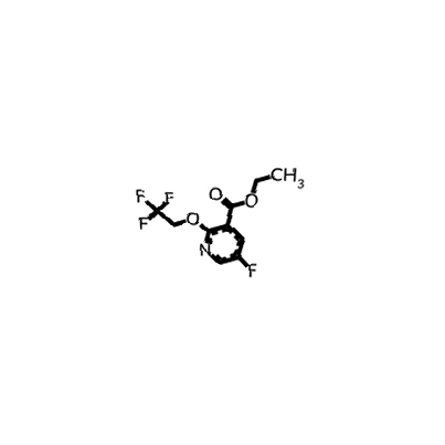 CCOC(=O)c1cc(F)cnc1OCC(F)(F)F